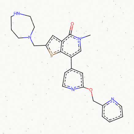 Cn1cc(-c2ccnc(OCc3ccccn3)c2)c2sc(CN3CCCNCC3)cc2c1=O